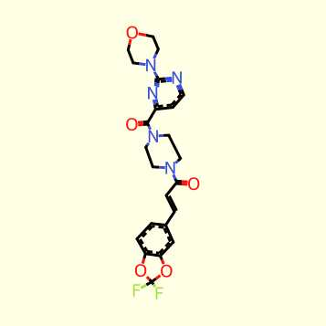 O=C(/C=C/c1ccc2c(c1)OC(F)(F)O2)N1CCN(C(=O)c2ccnc(N3CCOCC3)n2)CC1